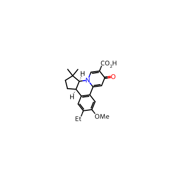 CCc1cc2c(cc1OC)-c1cc(=O)c(C(=O)O)cn1[C@H]1[C@@H]2CCC1(C)C